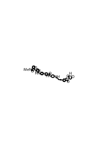 CNC(=O)c1ccccc1Nc1nc(Nc2ccc(N3CCN(C(=O)N[C@H]4CC[C@@H](NCCCC#Cc5ccc6c(c5)CN(C5CCC(=O)NC5=O)C6=O)CC4)CC3)cc2)ncc1Cl